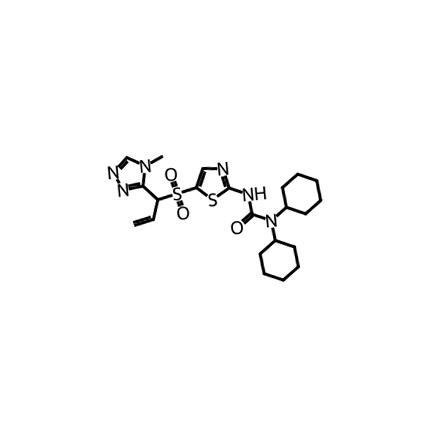 C=CC(c1nncn1C)S(=O)(=O)c1cnc(NC(=O)N(C2CCCCC2)C2CCCCC2)s1